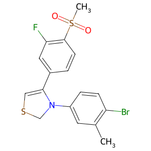 Cc1cc(N2CSC=C2c2ccc(S(C)(=O)=O)c(F)c2)ccc1Br